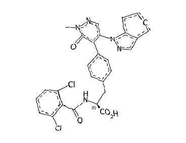 Cn1ncc(-n2ncc3ccccc32)c(-c2ccc(C[C@H](NC(=O)c3c(Cl)cccc3Cl)C(=O)O)cc2)c1=O